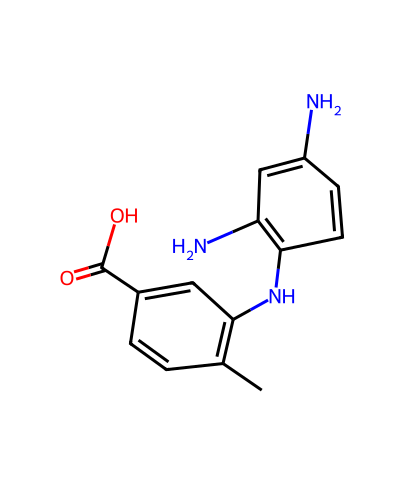 Cc1ccc(C(=O)O)cc1Nc1ccc(N)cc1N